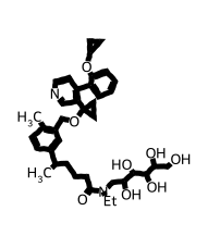 CCN(CC(O)C(O)C(O)C(O)CO)C(=O)CCCC(C)c1ccc(C)c(COC2(c3cnccc3-c3ccccc3OC3CC3)CC2)c1